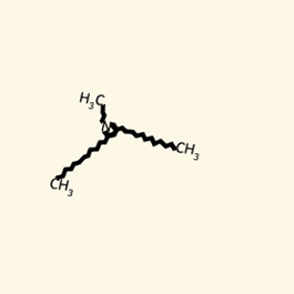 CCCCCCCCCCCCCc1cc(CCCCCCCCCCCCC)c[n+](CCCCC)c1